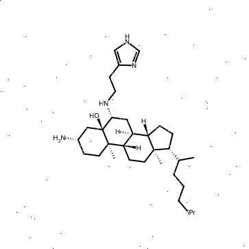 CC(C)CCCC(C)[C@H]1CC[C@H]2[C@@H]3C[C@@H](NCCc4c[nH]cn4)[C@@]4(O)C[C@@H](N)CC[C@]4(C)[C@H]3CC[C@]12C